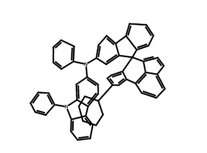 c1ccc(N(c2ccc3c(c2)C2(c4ccccc4-3)c3ccc(C4CCCCC4)cc3-c3cccc4cccc2c34)c2ccc3c4ccccc4n(-c4ccccc4)c3c2)cc1